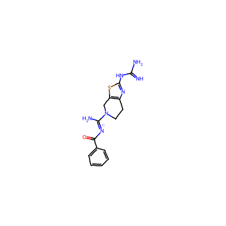 N=C(N)Nc1nc2c(s1)CN(/C(N)=N/C(=O)c1ccccc1)CC2